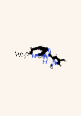 Cc1cc(-c2nc3ccc(C(=O)O)nc3[nH]2)n(C)c1